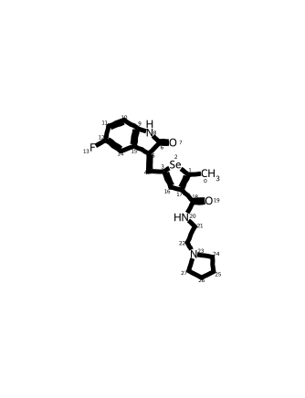 Cc1[se]c(C=C2C(=O)Nc3ccc(F)cc32)cc1C(=O)NCCN1CCCC1